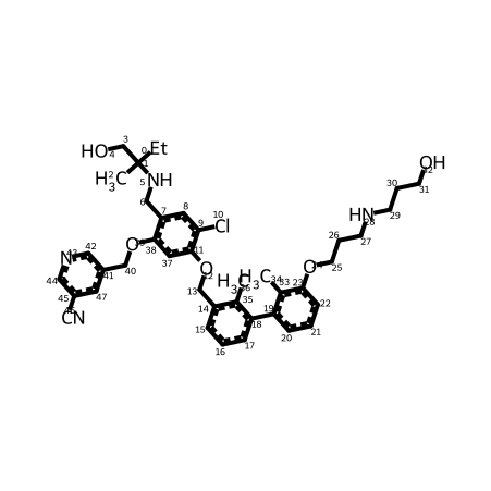 CCC(C)(CO)NCc1cc(Cl)c(OCc2cccc(-c3cccc(OCCCNCCCO)c3C)c2C)cc1OCc1cncc(C#N)c1